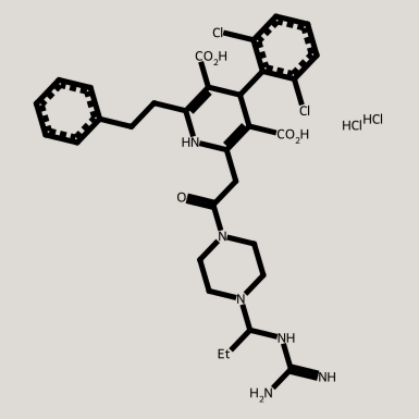 CCC(NC(=N)N)N1CCN(C(=O)CC2=C(C(=O)O)C(c3c(Cl)cccc3Cl)C(C(=O)O)=C(CCc3ccccc3)N2)CC1.Cl.Cl